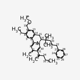 C=C1C=C2c3cc(CC)c(COC)cc3CC(C(C)(C)CCCc3ccccc3)N2C=C1C(=C)CCC